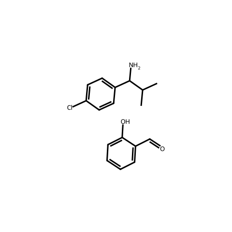 CC(C)C(N)c1ccc(Cl)cc1.O=Cc1ccccc1O